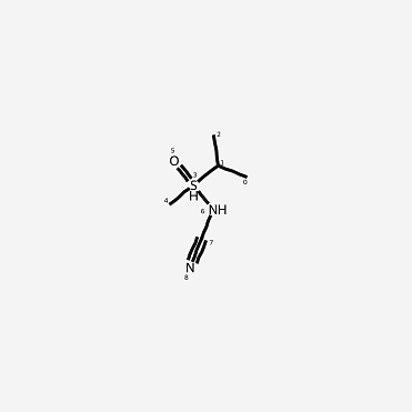 CC(C)[SH](C)(=O)NC#N